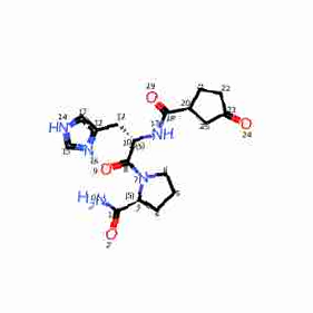 NC(=O)[C@@H]1CCCN1C(=O)[C@H](Cc1c[nH]cn1)NC(=O)C1CCC(=O)C1